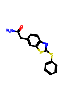 NC(=O)Cc1ccc2nc(Sc3ccccc3)sc2c1